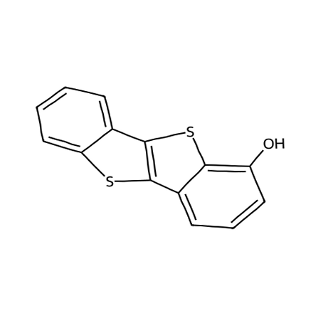 Oc1cccc2c1sc1c3ccccc3sc21